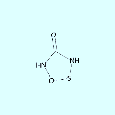 O=C1NOSN1